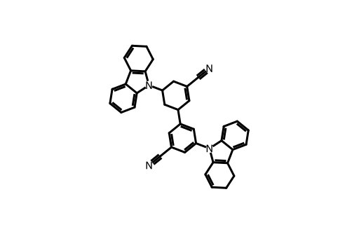 N#CC1=CC(c2cc(C#N)cc(-n3c4c(c5ccccc53)CCC=C4)c2)CC(n2c3c(c4ccccc42)C=CCC3)C1